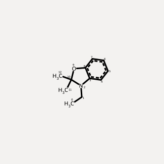 CCN1c2ccccc2OC1(C)C